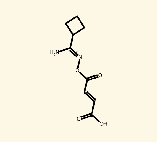 N/C(=N\OC(=O)C=CC(=O)O)C1CCC1